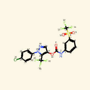 O=C(Nc1cccc(S(=O)(=O)C(F)(F)F)c1)Oc1cnn(-c2ccc(Cl)cc2)c1C(F)(F)F